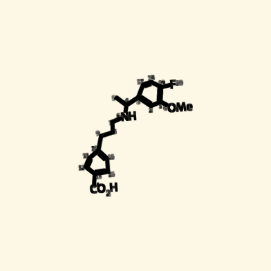 COc1cc(C(C)NCCCc2ccc(C(=O)O)cc2)ccc1F